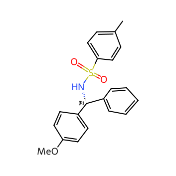 COc1ccc([C@H](NS(=O)(=O)c2ccc(C)cc2)c2ccccc2)cc1